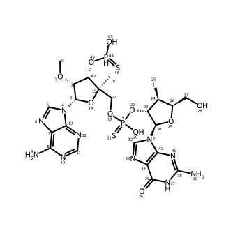 CO[C@H]1[C@@H](n2cnc3c(N)ncnc32)O[C@](C)(COP(O)(=S)O[C@@H]2[C@@H](F)[C@@H](CO)O[C@H]2n2cnc3c(=O)[nH]c(N)nc32)[C@H]1O[PH](O)=S